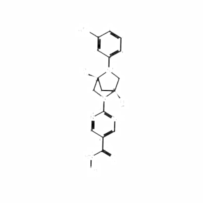 Cc1cccc(N2C[C@H]3C[C@@H]2CN3c2ncc(C(=O)NO)cn2)c1